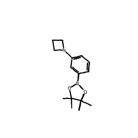 CC1(C)OB(c2cccc(N3CCC3)c2)OC1(C)C